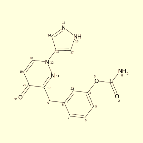 NC(=O)Oc1cccc(Cc2nn(-c3cn[nH]c3)ccc2=O)c1